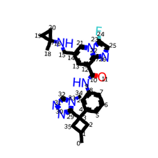 CC1CC(c2cccc(NC(=O)c3cc(CNC4(C)CC4)cn4c(F)cnc34)c2)(c2nncn2C)C1